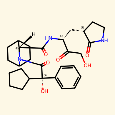 O=C1NCC[C@H]1C[C@@H](NC(=O)[C@H]1C2CCC(CC2)N1C(=O)[C@@](O)(c1ccccc1)C1CCCC1)C(=O)CO